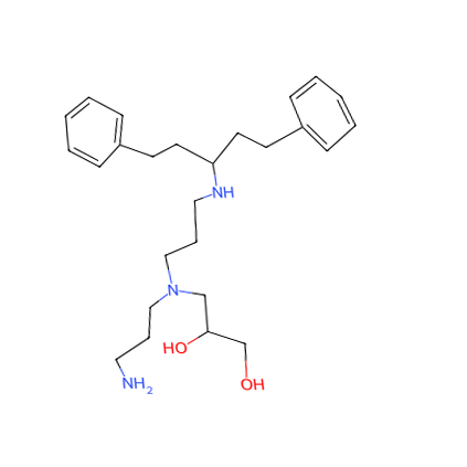 NCCCN(CCCNC(CCc1ccccc1)CCc1ccccc1)CC(O)CO